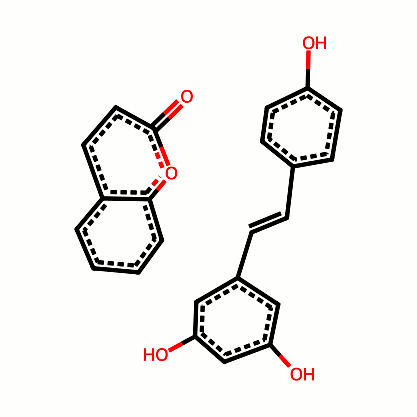 O=c1ccc2ccccc2o1.Oc1ccc(C=Cc2cc(O)cc(O)c2)cc1